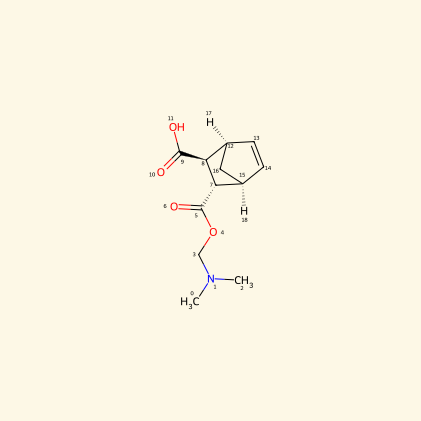 CN(C)COC(=O)[C@@H]1[C@@H](C(=O)O)[C@H]2C=C[C@@H]1C2